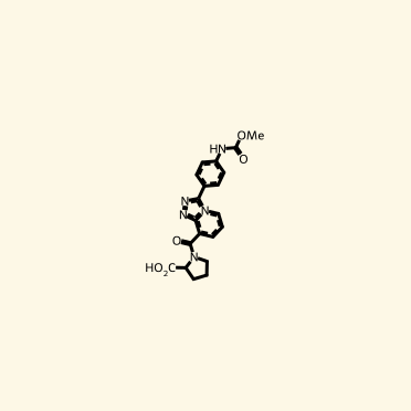 COC(=O)Nc1ccc(-c2nnc3c(C(=O)N4CCCC4C(=O)O)cccn23)cc1